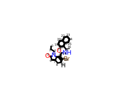 CCCN1C(=O)C=C2C[C@H]3C=C(C(=O)N[C@H](C)c4cccc5ccccc45)C21C=C3Br